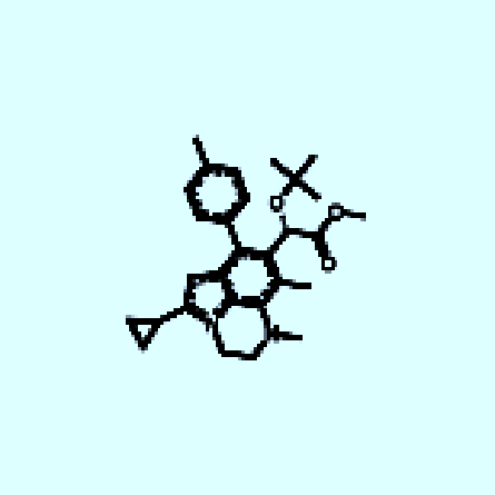 COC(=O)[C@@H](OC(C)(C)C)c1c(C)c2c3c(cc(C4CC4)n3CCN2C)c1-c1ccc(C)cc1